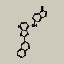 c1ccc2cc(-c3cc4c(Nc5ccc6[nH]ccc6c5)ccnc4s3)ccc2c1